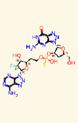 Nc1nc2c(nnn2[C@@H]2O[C@H](CO)C[C@H]2OP(O)(=S)OCC[C@H]2O[C@@H](n3nnc4c(N)ncnc43)[C@@H](F)[C@@H]2O)c(=O)[nH]1